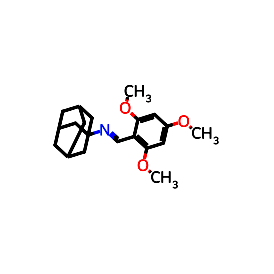 COc1cc(OC)c(C=NC23CC4CC(CC(C4)C2)C3)c(OC)c1